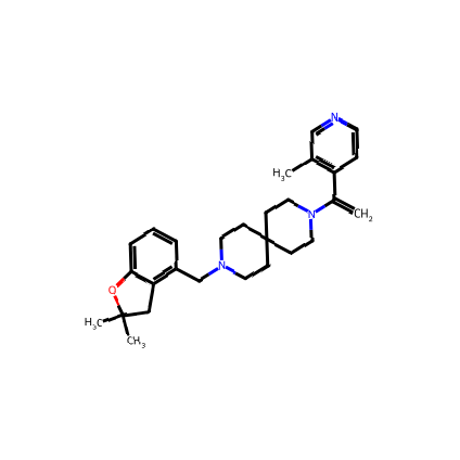 C=C(c1ccncc1C)N1CCC2(CCN(Cc3cccc4c3CC(C)(C)O4)CC2)CC1